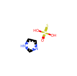 O=S(O)(O)=S.c1c[nH]cn1